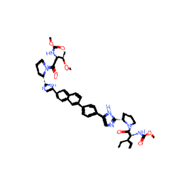 CCC(CC)[C@H](NC(=O)OC)C(=O)N1CCC[C@H]1c1ncc(-c2ccc(-c3ccc4cc(-c5cnc([C@@H]6CCCN6C(=O)[C@@H](NC(=O)OC)[C@@H](C)OC)[nH]5)ccc4c3)cc2)[nH]1